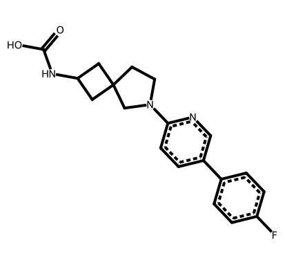 O=C(O)NC1CC2(CCN(c3ccc(-c4ccc(F)cc4)cn3)C2)C1